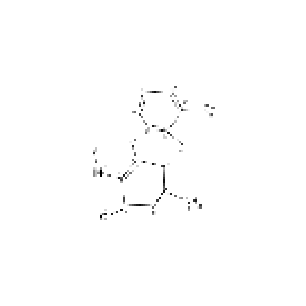 CNc1c(C)cc(N)cc1Cl.Cc1ccccc1O